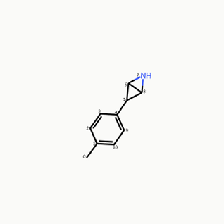 Cc1ccc(C2C3NC32)cc1